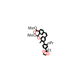 CCCc1cc(C2(CC)OCCO2)ccc1-c1cc(/C=C\c2ccc(C(=O)OC)c(C(=O)OC)c2)ccc1C